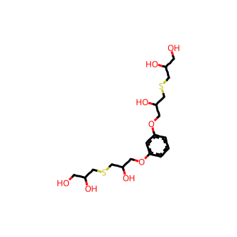 OCC(O)CSCC(O)COc1cccc(OCC(O)CSCC(O)CO)c1